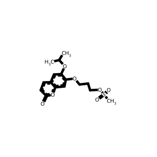 CC(C)Oc1cc2ccc(=O)oc2cc1OCCCOS(C)(=O)=O